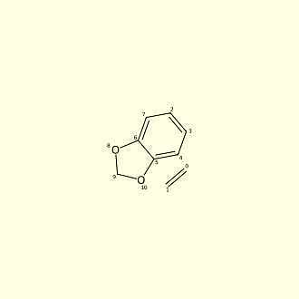 C=C.c1ccc2c(c1)OCO2